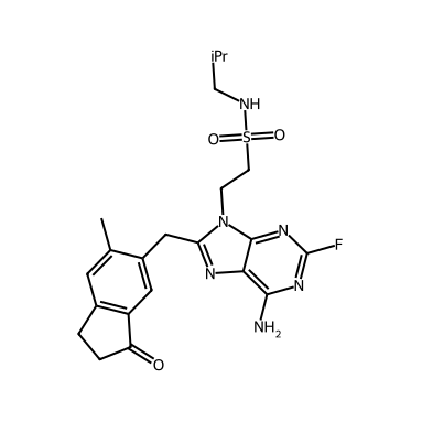 Cc1cc2c(cc1Cc1nc3c(N)nc(F)nc3n1CCS(=O)(=O)NCC(C)C)C(=O)CC2